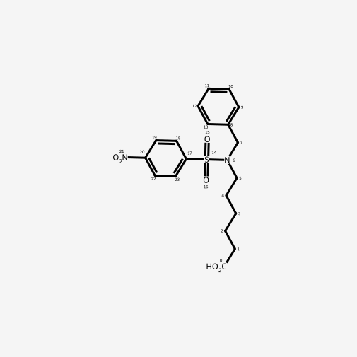 O=C(O)CCCCCN(Cc1ccccc1)S(=O)(=O)c1ccc([N+](=O)[O-])cc1